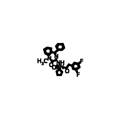 CN1C(=O)[C@@H](NC(=O)C2(NC(=O)Cc3cc(F)cc(F)c3)CCCC2)N=C(c2ccccc2)c2ccccc21